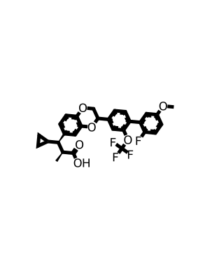 COc1ccc(F)c(-c2ccc(C3COc4ccc([C@H](C5CC5)[C@H](C)C(=O)O)cc4O3)cc2OC(F)(F)F)c1